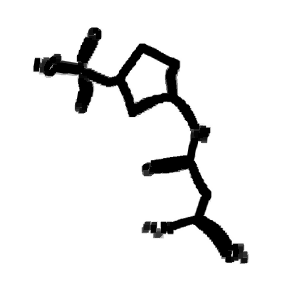 C=C(N)CC(=O)NC1CCC(S(=O)(=O)O)C1